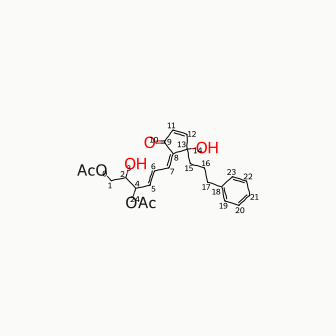 CC(=O)OCC(O)C(/C=C/C=C1\C(=O)C=CC1(O)CCCc1ccccc1)OC(C)=O